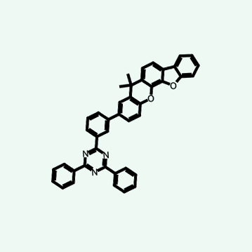 CC1(C)c2cc(-c3cccc(-c4nc(-c5ccccc5)nc(-c5ccccc5)n4)c3)ccc2Oc2c1ccc1c2oc2ccccc21